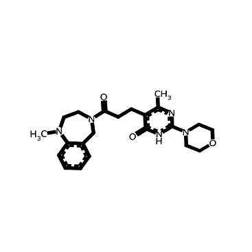 Cc1nc(N2CCOCC2)[nH]c(=O)c1CCC(=O)N1CCN(C)c2ccccc2C1